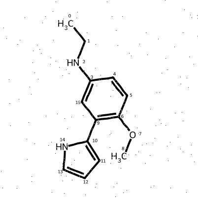 CCNc1ccc(OC)c(-c2ccc[nH]2)c1